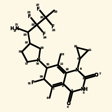 CC1=c2c(=O)[nH]c(=O)n(C3CC3)c2=C(C)C(N2CCC(C(N)C(F)(F)C(C)(F)F)C2)C1F